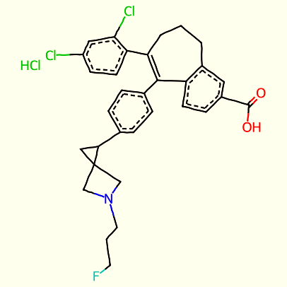 Cl.O=C(O)c1ccc2c(c1)CCCC(c1ccc(Cl)cc1Cl)=C2c1ccc(C2CC23CN(CCCF)C3)cc1